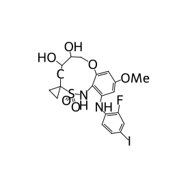 COc1cc(Nc2ccc(I)cc2F)c2c(c1)OCC(O)C(O)CC1(CC1)S(=O)(=O)N2